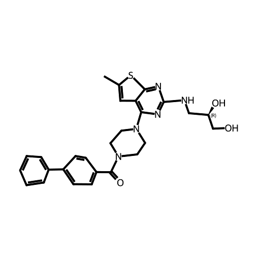 Cc1cc2c(N3CCN(C(=O)c4ccc(-c5ccccc5)cc4)CC3)nc(NC[C@@H](O)CO)nc2s1